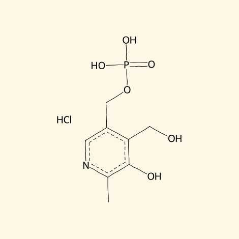 Cc1ncc(COP(=O)(O)O)c(CO)c1O.Cl